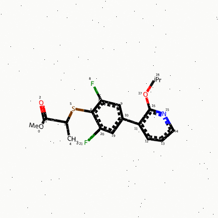 COC(=O)C(C)Sc1c(F)cc(-c2cccnc2OC(C)C)cc1F